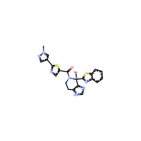 [2H][C@@]1(c2nc3ccccc3s2)c2nc[nH]c2CCN1C(=O)c1cnc(-c2cnn(C)c2)s1